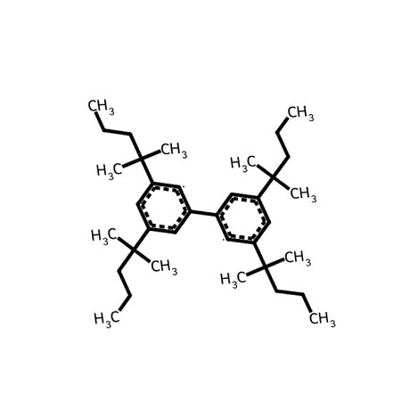 CCCC(C)(C)c1[c]c(-c2[c]c(C(C)(C)CCC)cc(C(C)(C)CCC)c2)cc(C(C)(C)CCC)c1